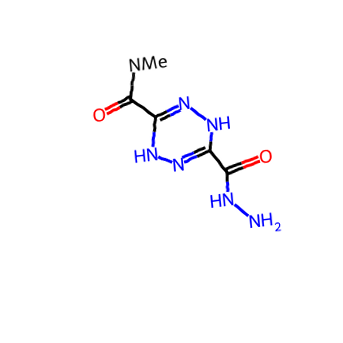 CNC(=O)C1=NNC(C(=O)NN)=NN1